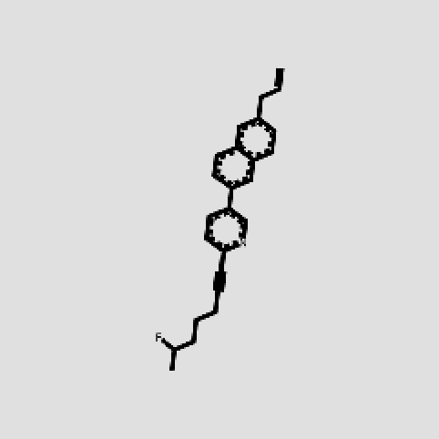 C=CCc1ccc2cc(-c3ccc(C#CCCCC(C)F)nc3)ccc2c1